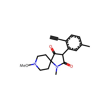 C#Cc1ccc(C)cc1C1C(=O)N(C)C2(CCN(OC)CC2)C1=O